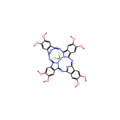 COc1cc2c(cc1OC)/C1=N/c3c4cc(OC)c(OC)cc4c4n3[Si](Cl)(Cl)n3/c(c5cc(OC)c(OC)cc5/c3=N/C3=NC(=N\4)/c4cc(OC)c(OC)cc43)=N\C2=N1